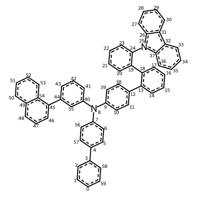 c1ccc(-c2ccc(N(c3ccc(-c4ccccc4-c4ccccc4-n4c5ccccc5c5ccccc54)cc3)c3cccc(-c4cccc5ccccc45)c3)cc2)cc1